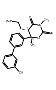 COCC[C@@H]1C(=O)N(C)C(=N)N[C@]1(C)c1cccc(-c2cccc(C#N)c2)c1